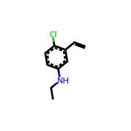 C=Cc1cc(NCC)ccc1Cl